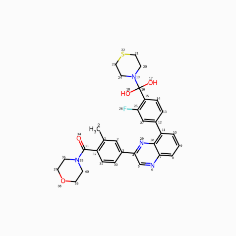 Cc1cc(-c2cnc3cccc(-c4ccc(C(O)(O)N5CCSCC5)c(F)c4)c3n2)ccc1C(=O)N1CCOCC1